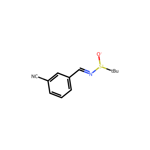 CC(C)(C)[S+]([O-])/N=C/c1cccc(C#N)c1